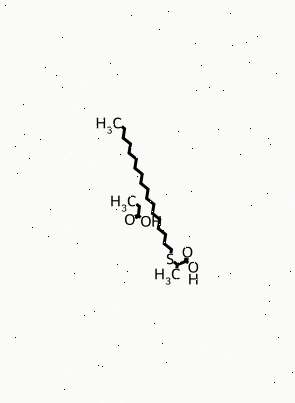 CCC(=O)O.CCCCCCCCCCCCCCCCCCSC(C)C(=O)O